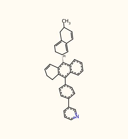 CC1C=CC2=C[C@H](c3c4c(c(-c5ccc(-c6cccnc6)cc5)c5ccccc35)CCC=C4)CC=C2C1